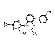 N#Cc1cccc(-c2cccc(Nc3ncc(C4CC4)nc3C(=O)O)c2OCC(F)(F)F)c1